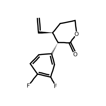 C=C[C@H]1CCOC(=O)[C@@H]1c1ccc(F)c(F)c1